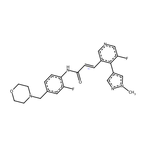 Cn1cc(-c2c(F)cncc2/C=C/C(=O)Nc2ccc(CN3CCOCC3)cc2F)cn1